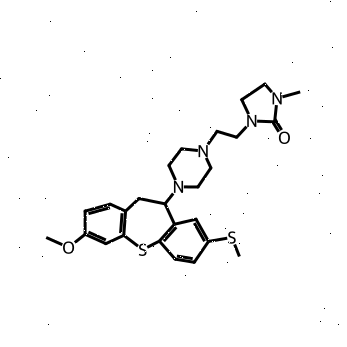 COc1ccc2c(c1)Sc1ccc(SC)cc1C(N1CCN(CCN3CCN(C)C3=O)CC1)C2